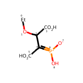 CCOC(C(=O)O)/C(C(=O)O)=[P+](\[O-])O